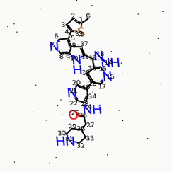 Cc1ccc(-c2cncc3[nH]c(-c4n[nH]c5ncc(-c6cncc(NC(=O)CC7CCNCC7)c6)cc45)cc23)s1